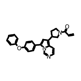 C=CC(=O)N1CCC(c2cc(-c3ccc(Oc4ccccc4)cc3)n3cnccc23)C1